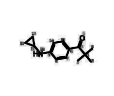 CC(C)(C)C(=O)c1ccc(NC2CC2)cc1